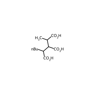 CCCCC(C(=O)O)C(C(=O)O)C(C)C(=O)O